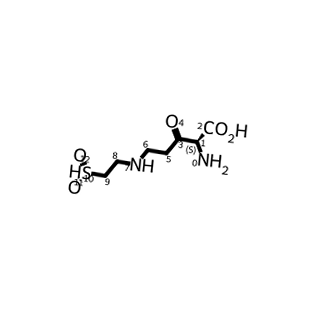 N[C@H](C(=O)O)C(=O)CCNCC[SH](=O)=O